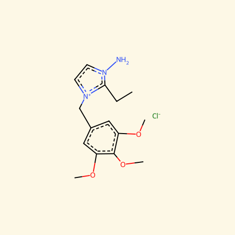 CCc1n(N)cc[n+]1Cc1cc(OC)c(OC)c(OC)c1.[Cl-]